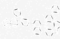 c1ccc(-c2ccc(N(c3ccc(-c4ccc5c(c4)-c4ccccc4C54CC5CCC6CC5CC4C6)c4ccccc34)c3cccc4sc5ccccc5c34)cc2)cc1